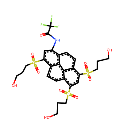 O=C(Nc1cc(S(=O)(=O)CCCO)c2ccc3c(S(=O)(=O)CCCO)cc(S(=O)(=O)CCCO)c4ccc1c2c43)C(F)(F)F